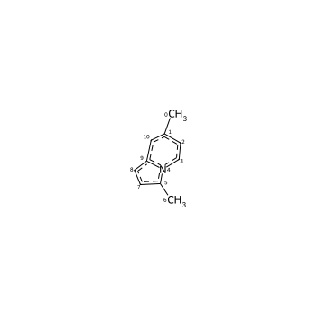 Cc1ccn2c(C)ccc2c1